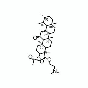 CC(=O)OC1CC[C@@]2(C)C(CC[C@]3(C)C2C(=O)C=C2C4[C@@H](C)[C@H](C)CC[C@]4(C)CC[C@]23C)[C@@]1(C)C(=O)OCCN(C)C